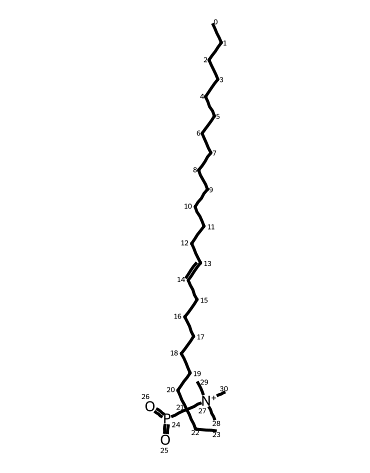 CCCCCCCCCCCCCC=CCCCCCCC(CC)(P(=O)=O)[N+](C)(C)C